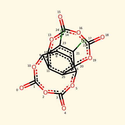 O=c1oc(=O)oc2ccc(o1)c1c3oc(=O)oc(=O)oc(c(Cl)c3Cl)c21